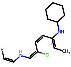 C/C=C(/C=C\C(Cl)=C/N/C=C\CC)NC1CCCCC1